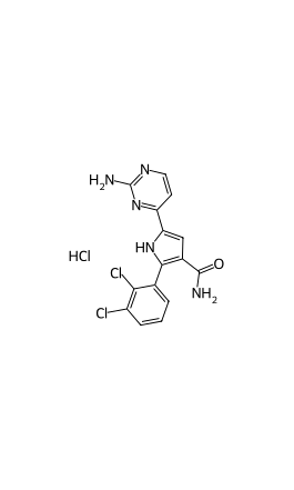 Cl.NC(=O)c1cc(-c2ccnc(N)n2)[nH]c1-c1cccc(Cl)c1Cl